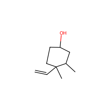 C=CC1(C)CCC(O)CC1C